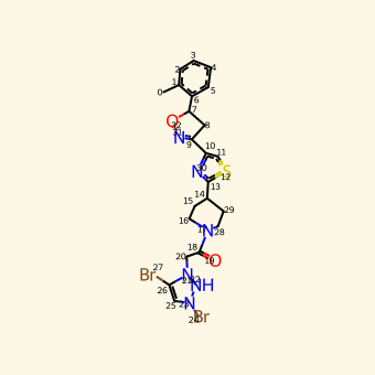 Cc1ccccc1C1CC(c2csc(C3CCN(C(=O)CN4NN(Br)C=C4Br)CC3)n2)=NO1